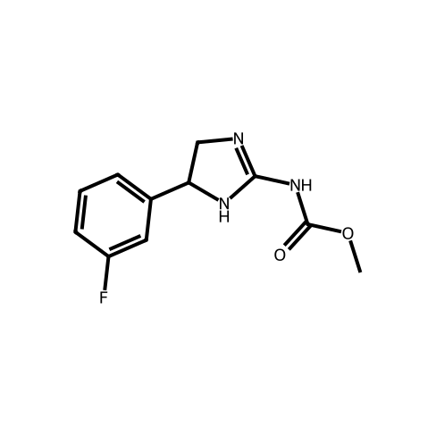 COC(=O)NC1=NCC(c2cccc(F)c2)N1